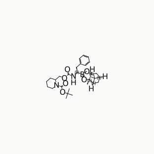 CC(C)(C)OC(=O)N1CCCCC1COC(=O)N[C@@H](Cc1ccccc1)B1O[C@@H]2C[C@@H]3C[C@@H](C3(C)C)[C@]2(C)O1